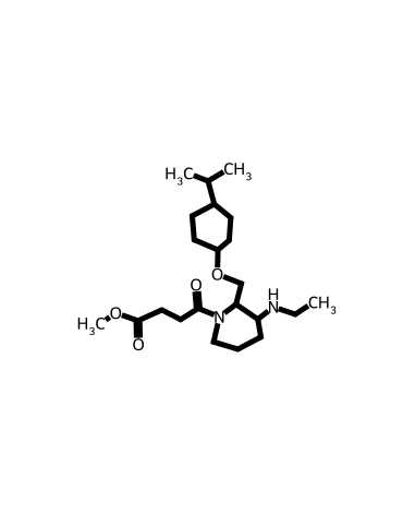 CCNC1CCCN(C(=O)CCC(=O)OC)C1COC1CCC(C(C)C)CC1